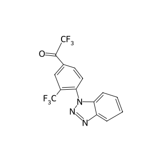 O=C(c1ccc(-n2nnc3ccccc32)c(C(F)(F)F)c1)C(F)(F)F